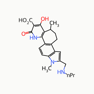 CCCNCc1cc2c3c(ccc2n1C)-c1[nH]c(=O)c(C(=O)O)c(O)c1C(C)CC3